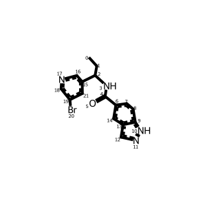 CCC(NC(=O)c1ccc2[nH]ncc2c1)c1cncc(Br)c1